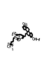 CCC(CC(C)CCC1Cc2cc(O)ccc2C2CCC3(C)C(O)CCC3C12)[S+]([O-])CCCC(F)(F)C(F)(F)F